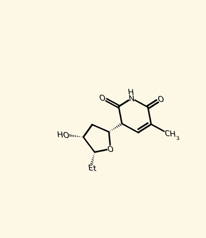 CC[C@H]1O[C@@H](C2C=C(C)C(=O)NC2=O)C[C@H]1O